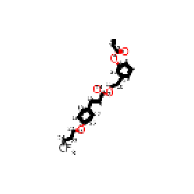 C=CC(=O)Oc1cccc(CCOC(=O)/C=C/c2ccc(OCCCC(F)(F)F)cc2)c1